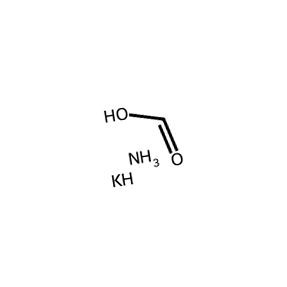 N.O=CO.[KH]